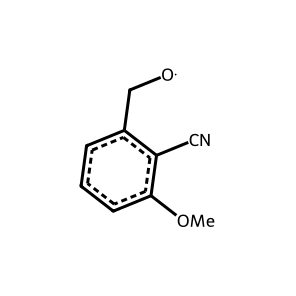 COc1cccc(C[O])c1C#N